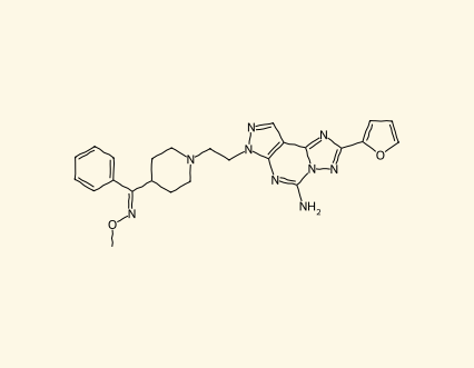 CON=C(c1ccccc1)C1CCN(CCn2ncc3c2nc(N)n2nc(-c4ccco4)nc32)CC1